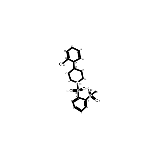 CS(=O)(=O)c1ccccc1S(=O)(=O)N1CCC(C2C=CCC=C2Cl)CC1